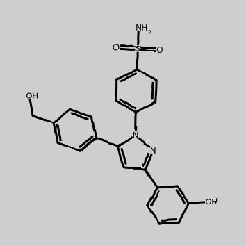 NS(=O)(=O)c1ccc(-n2nc(-c3cccc(O)c3)cc2-c2ccc(CO)cc2)cc1